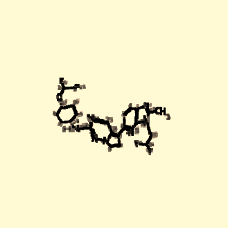 Cc1nc2ccc(-c3ccn4nc(N[C@H]5CC[C@@H](OC(F)F)CC5)ncc34)nc2n1CC(F)F